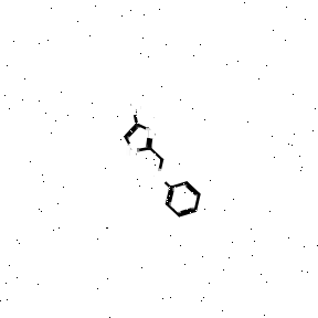 O=[N+]([O-])c1c[nH]c(COc2ccccc2)n1